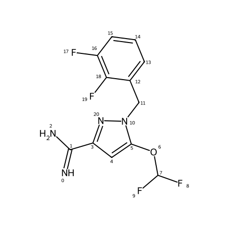 N=C(N)c1cc(OC(F)F)n(Cc2cccc(F)c2F)n1